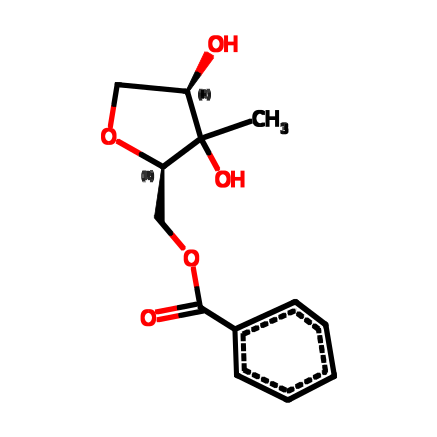 CC1(O)[C@H](O)CO[C@@H]1COC(=O)c1ccccc1